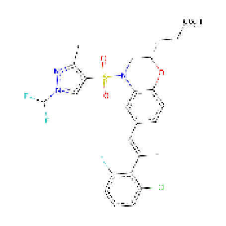 C/C(=C\c1ccc2c(c1)N(S(=O)(=O)c1cn(C(F)F)nc1C)C[C@H](CCC(=O)O)O2)c1c(F)cccc1Cl